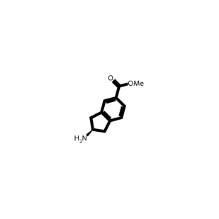 COC(=O)c1ccc2c(c1)C[C@H](N)C2